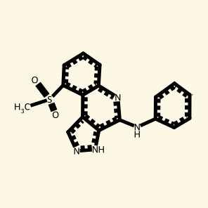 CS(=O)(=O)c1cccc2nc(Nc3cc[c]cc3)c3[nH]ncc3c12